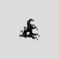 Cc1nc(Oc2ccc(C(C)(C)C)cc2)nc(C)c1C(=O)NC(CCN)C(=O)N(C)C1C(=O)NC(C)C(=O)NC(C(=O)NCC#N)Cc2ccc(OCCN)c(c2)-c2cc1ccc2OCCN